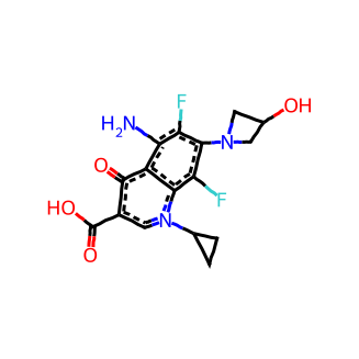 Nc1c(F)c(N2CC(O)C2)c(F)c2c1c(=O)c(C(=O)O)cn2C1CC1